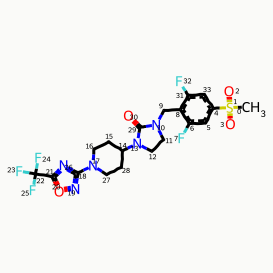 CS(=O)(=O)c1cc(F)c(CN2CCN(C3CCN(c4noc(C(F)(F)F)n4)CC3)C2=O)c(F)c1